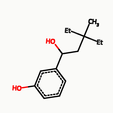 CCC(C)(CC)CC(O)c1cccc(O)c1